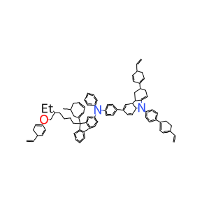 C=CC1=CC=C(c2ccc(N3C4=CCC(C5=CCC(C=C)C=C5)CC4C4C=C(c5ccc(N(c6ccccc6)c6ccc7c(c6)C(CCCCC(CC)COC6=CCC(C=C)C=C6)(C6=CC=CCC(C)C6)c6ccccc6-7)cc5)C=CC43)cc2)CC1